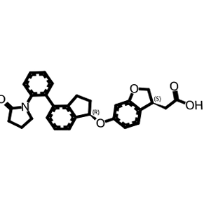 O=C(O)C[C@@H]1COc2cc(O[C@@H]3CCc4c(-c5ccccc5N5CCCC5=O)cccc43)ccc21